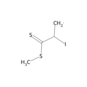 [CH2]C(I)C(=S)SC